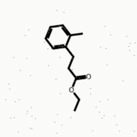 CCOC(=O)CCc1ccccc1C